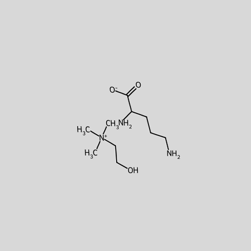 C[N+](C)(C)CCO.NCCCC(N)C(=O)[O-]